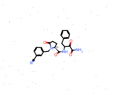 N#Cc1cccc(CN2C(=O)CC[C@H]2C(=O)NC(Cc2ccccc2)C(=O)C(N)=O)c1